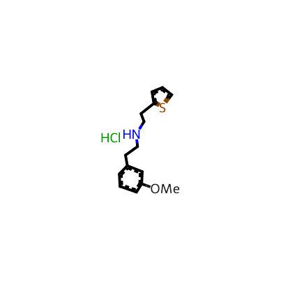 COc1cccc(CCNCCc2cccs2)c1.Cl